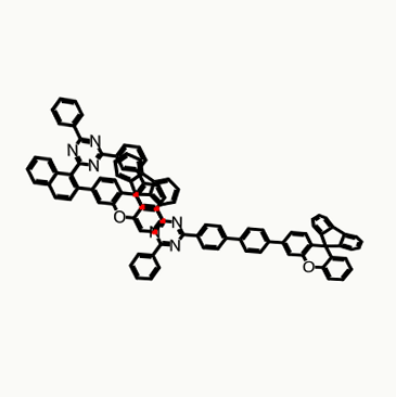 c1ccc(-c2nc(-c3ccc(-c4ccc(-c5ccc6c(c5)Oc5ccccc5C65c6ccccc6-c6ccccc65)cc4)cc3)nc(-c3ccc(-c4cccc(-c5nc(-c6ccccc6)nc(-c6c(-c7ccc8c(c7)Oc7ccccc7C87c8ccccc8-c8ccccc87)ccc7ccccc67)n5)c4)cc3)n2)cc1